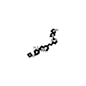 C\C=C/C(=C\C=C\C(C)(C)c1ccc(OC2CCC2)cc1)CCc1ccnc(N2CCC3(CCNC3)C2)n1